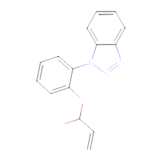 C=CC(O)Oc1ccccc1-n1nnc2ccccc21